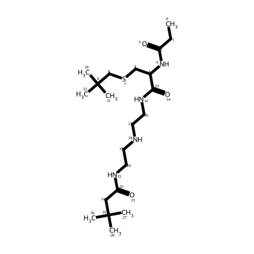 CCC(=O)NC(CSCC(C)(C)C)C(=O)NCCNCCNC(=O)CC(C)(C)C